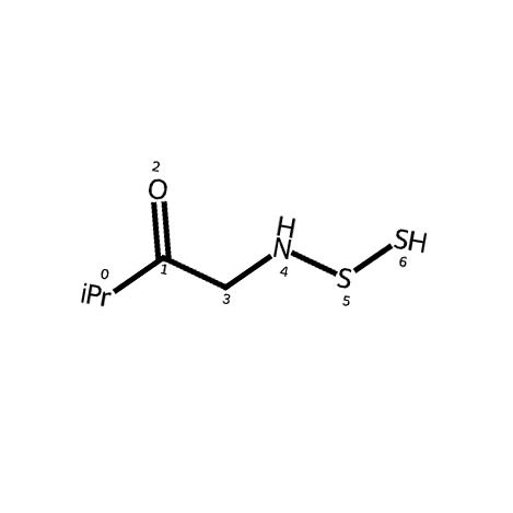 CC(C)C(=O)CNSS